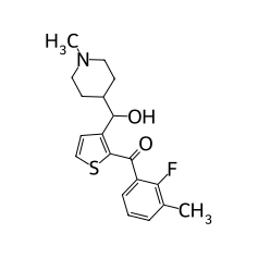 Cc1cccc(C(=O)c2sccc2C(O)C2CCN(C)CC2)c1F